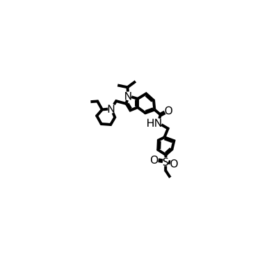 CCC1CCCCN1Cc1cc2cc(C(=O)NCc3ccc(S(=O)(=O)CC)cc3)ccc2n1C(C)C